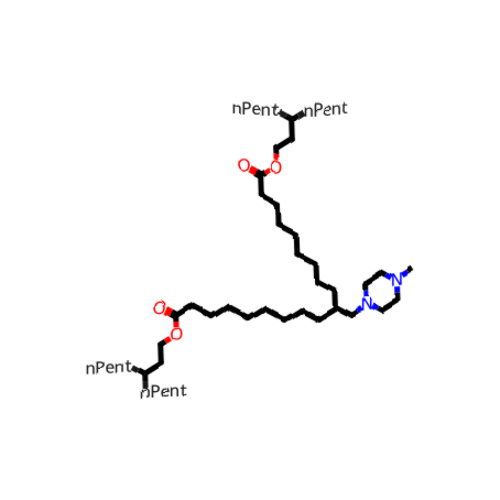 CCCCCC(CCCCC)CCOC(=O)CCCCCCCCC(CCCCCCCCC(=O)OCCC(CCCCC)CCCCC)CN1CCN(C)CC1